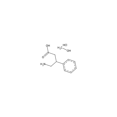 CO.Cl.NCC(CC(=O)O)c1ccccc1